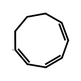 [C]1=CC=CC=CCCC1